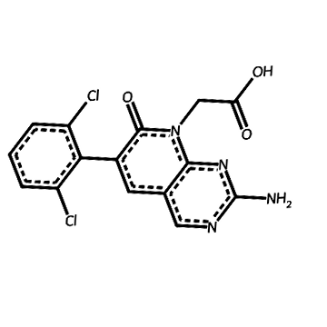 Nc1ncc2cc(-c3c(Cl)cccc3Cl)c(=O)n(CC(=O)O)c2n1